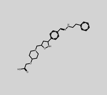 O=C(O)COC1CCN(CC2CC(c3ccc(C=NNCCc4ccccc4)cc3)NO2)CC1